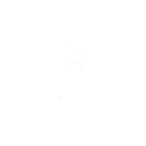 Cn1c(=O)n(CC2(C(F)(F)F)CC2)c2ccc(-c3cnccc3F)cc21